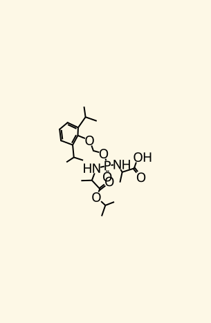 CC(C)OC(=O)C(C)NP(=O)(NC(C)C(=O)O)OCOc1c(C(C)C)cccc1C(C)C